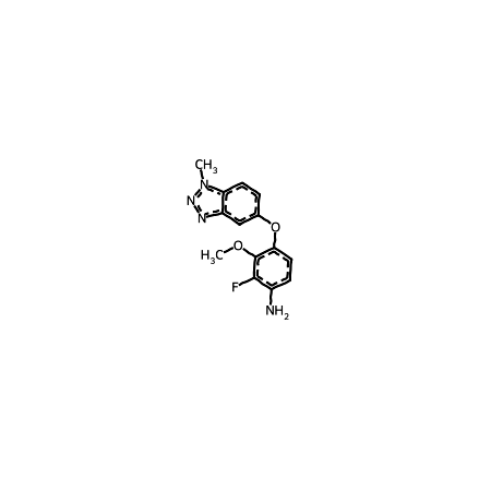 COc1c(Oc2ccc3c(c2)nnn3C)ccc(N)c1F